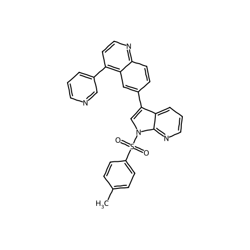 Cc1ccc(S(=O)(=O)n2cc(-c3ccc4nccc(-c5cccnc5)c4c3)c3cccnc32)cc1